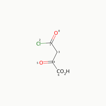 O=C(Cl)CC(=O)C(=O)O